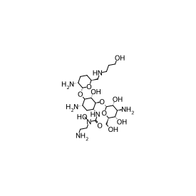 NCCN(O)C(=O)N[C@@H]1C[C@H](N)C(O[C@H]2O[C@H](CNCCCO)CC[C@H]2N)[C@H](O)[C@H]1O[C@H]1O[C@H](CO)[C@@H](O)[C@H](N)[C@H]1O